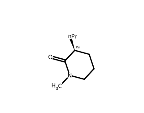 CCC[C@H]1CCCN(C)C1=O